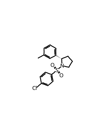 Cc1cccc([C@@H]2CCCN2S(=O)(=O)c2ccc(Cl)cc2)c1